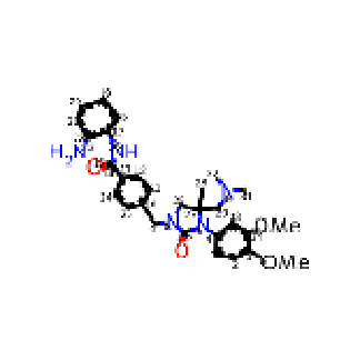 COc1ccc(N2C(=O)N(Cc3ccc(C(=O)Nc4ccccc4N)cc3)CC2(C)CN(C)C)cc1OC